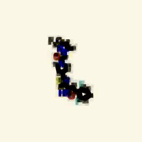 Cc1cc(C(F)(F)F)nn1CC(=O)N1CCC(c2nc(C3=C[C@H](c4c(F)cccc4F)ON3)cs2)CC1